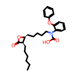 CCCCCC[C@H]1C(=O)O[C@@H]1CCCCCN(C(=O)O)c1ccccc1Oc1ccccc1